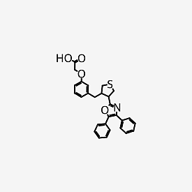 O=C(O)COc1cccc(CC2CSCC2c2nc(-c3ccccc3)c(-c3ccccc3)o2)c1